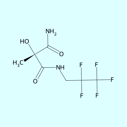 C[C@@](O)(C(N)=O)C(=O)NCC(F)(F)C(F)(F)F